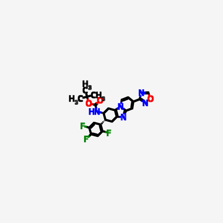 CC(C)(C)OC(=O)N[C@H]1Cc2c(nc3cc(-c4ncon4)ccn23)C[C@@H]1c1cc(F)c(F)cc1F